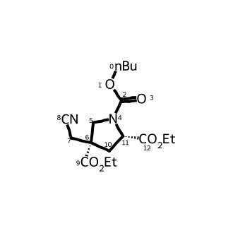 CCCCOC(=O)N1C[C@@](CC#N)(C(=O)OCC)C[C@H]1C(=O)OCC